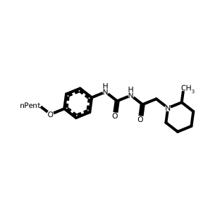 CCCCCOc1ccc(NC(=O)NC(=O)CN2CCCCC2C)cc1